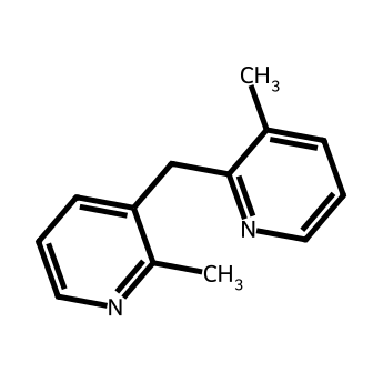 Cc1cccnc1Cc1cccnc1C